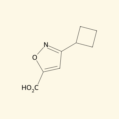 O=C(O)c1cc(C2CCC2)no1